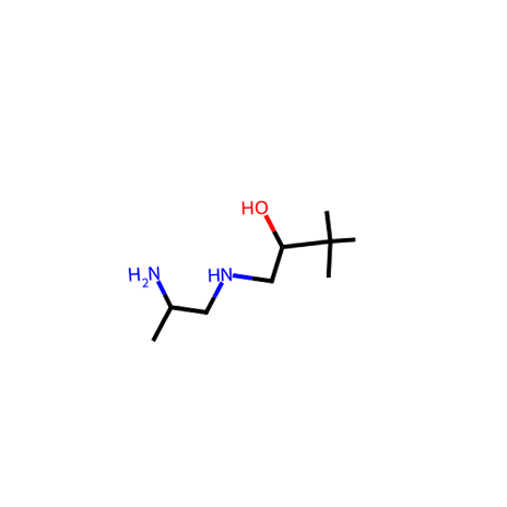 CC(N)CNCC(O)C(C)(C)C